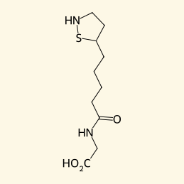 O=C(O)CNC(=O)CCCCC1CCNS1